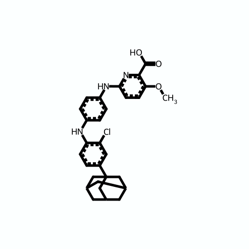 COc1ccc(Nc2ccc(Nc3ccc(C45CC6CC(CC(C6)C4)C5)cc3Cl)cc2)nc1C(=O)O